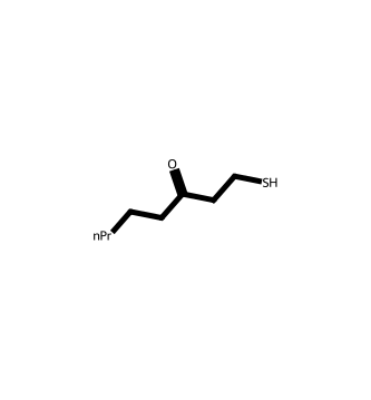 CCCCCC(=O)[CH]CS